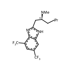 CN[C@H](Cc1nc2c(C(F)(F)F)cc(C(F)(F)F)cc2[nH]1)CC(C)C